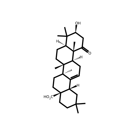 CC1(C)CC[C@]2(C(=O)O)CC[C@]3(C)C(=CC[C@@H]4[C@@]5(C)C(=O)C[C@H](O)C(C)(C)[C@@H]5CC[C@]43C)[C@@H]2C1